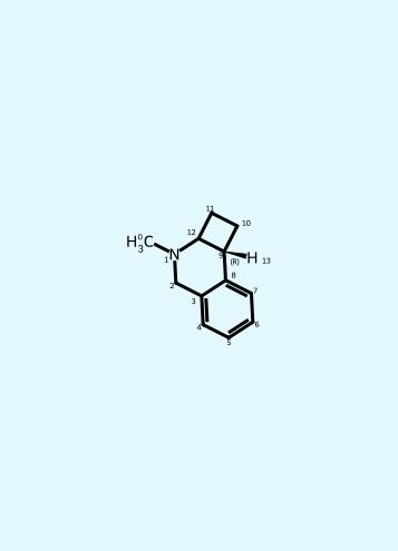 CN1Cc2ccccc2[C@H]2CCC21